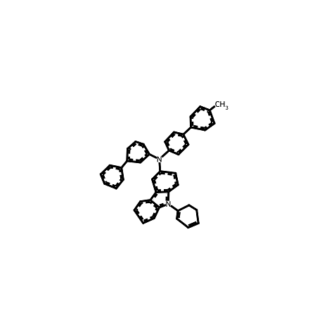 Cc1ccc(-c2ccc(N(c3cccc(-c4ccccc4)c3)c3ccc4c(c3)c3ccccc3n4C3=CC=CCC3)cc2)cc1